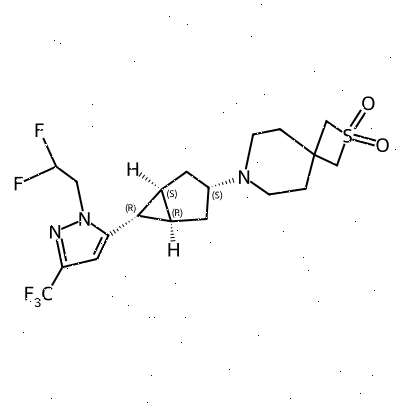 O=S1(=O)CC2(CCN([C@@H]3C[C@@H]4[C@H](C3)[C@H]4c3cc(C(F)(F)F)nn3CC(F)F)CC2)C1